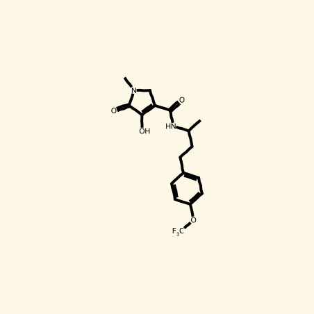 CC(CCc1ccc(OC(F)(F)F)cc1)NC(=O)C1=C(O)C(=O)N(C)C1